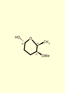 CO[C@H]1CC[C@H](O)O[C@H]1C